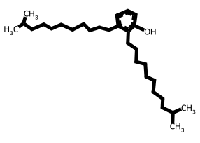 CC(C)CCCCCCCCCc1cccc(O)c1CCCCCCCCCC(C)C